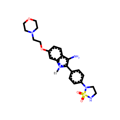 CCn1c(-c2ccc(N3CCNS3(=O)=O)cc2)c(N)c2ccc(OCCN3CCOCC3)cc21